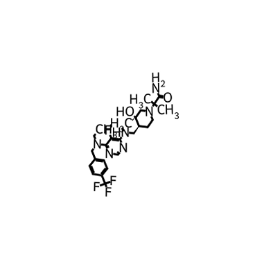 CCN(Cc1ccc(C(F)(F)F)cc1)c1ncnc(NC[C@@H]2CCN(C(C)(C)C(N)=O)C[C@]2(C)O)c1F